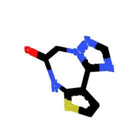 O=C1Cn2ncnc2-c2ccsc2N1